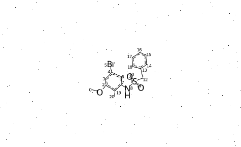 COc1cc(Br)cc(NS(=O)(=O)Cc2ccccc2)c1C